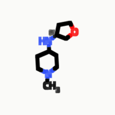 CN1CCC(N[C@H]2CCOC2)CC1